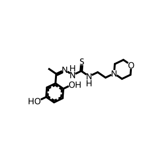 CC(=NNC(=S)NCCN1CCOCC1)c1cc(O)ccc1O